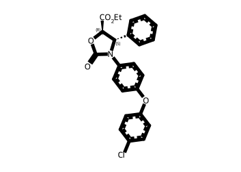 CCOC(=O)[C@@H]1OC(=O)N(c2ccc(Oc3ccc(Cl)cc3)cc2)[C@H]1c1ccccc1